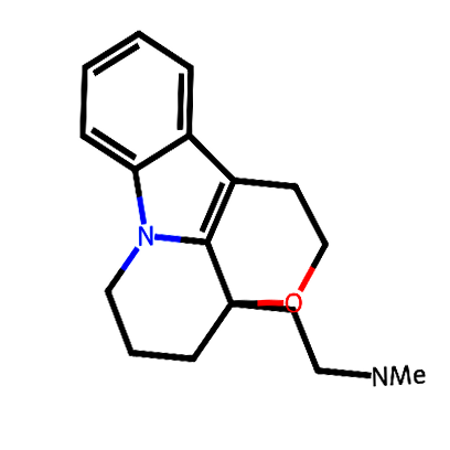 CNCCC12CCCn3c1c(c1ccccc13)CCO2